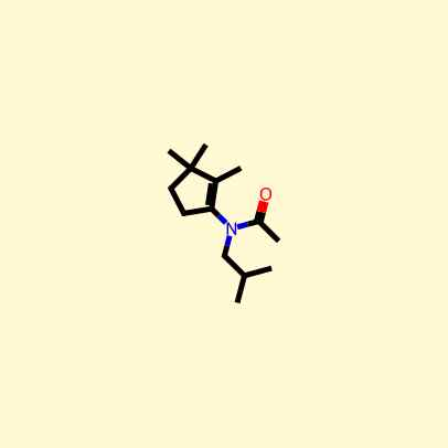 CC(=O)N(CC(C)C)C1=C(C)C(C)(C)CC1